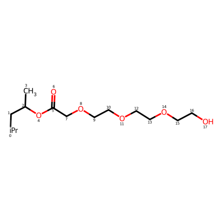 CC(C)CC(C)OC(=O)COCCOCCOCCO